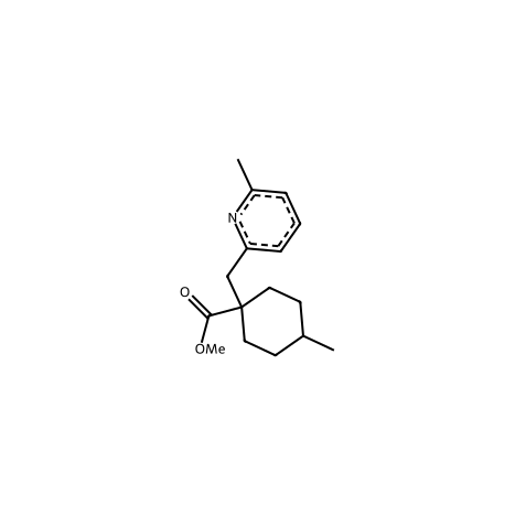 COC(=O)C1(Cc2cccc(C)n2)CCC(C)CC1